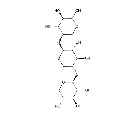 OC1OC[C@@H](O[C@@H]2OC[C@@H](O[C@@H]3OC[C@@H](O)[C@H](O)[C@H]3O)[C@H](O)[C@H]2O)[C@H](O)[C@H]1O